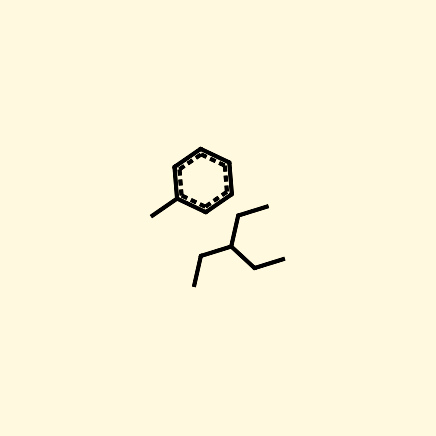 CCC(CC)CC.Cc1ccccc1